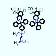 CN(C)CCN(C)C.O=C(O)c1c(Cl)cc2c(c1Cl)CCN(C(c1ccccc1)(c1ccccc1)c1ccccc1)C2.O=C(O)c1c(Cl)cc2c(c1Cl)CCN(C(c1ccccc1)(c1ccccc1)c1ccccc1)C2